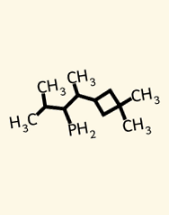 CC(C)C(P)C(C)C1CC(C)(C)C1